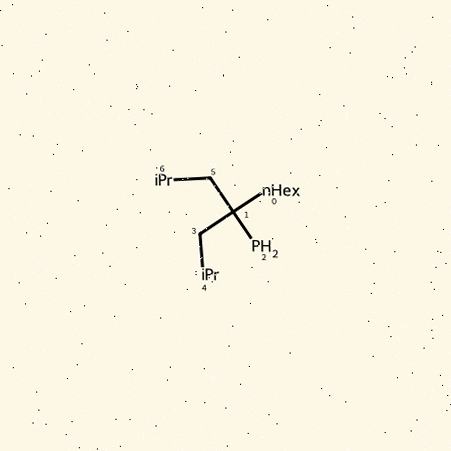 CCCCCCC(P)(CC(C)C)CC(C)C